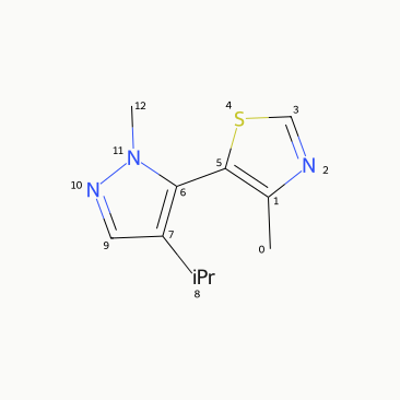 Cc1ncsc1-c1c(C(C)C)cnn1C